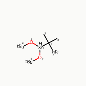 CCCC(C)(C)[SiH](OC(C)(C)C)OC(C)(C)C